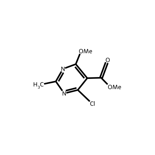 COC(=O)c1c(Cl)nc(C)nc1OC